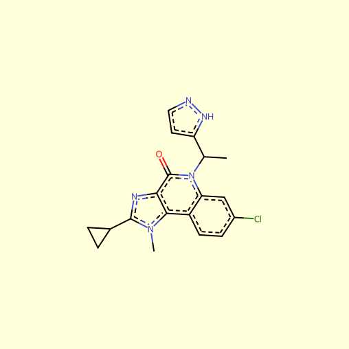 CC(c1ccn[nH]1)n1c(=O)c2nc(C3CC3)n(C)c2c2ccc(Cl)cc21